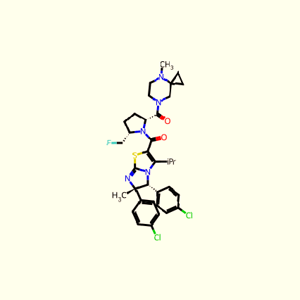 CC(C)C1=C(C(=O)N2[C@H](CF)CC[C@@H]2C(=O)N2CCN(C)C3(CC3)C2)SC2=N[C@@](C)(c3ccc(Cl)cc3)[C@@H](c3ccc(Cl)cc3)N21